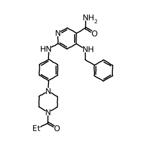 CCC(=O)N1CCN(c2ccc(Nc3cc(NCc4ccccc4)c(C(N)=O)cn3)cc2)CC1